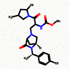 CC1CC(C#N)N(C(=O)C(CN2C[C@@H]3CC2C(=O)N3[C@@H](C)c2ccc(C#N)cc2)NC(=O)OC(C)(C)C)C1